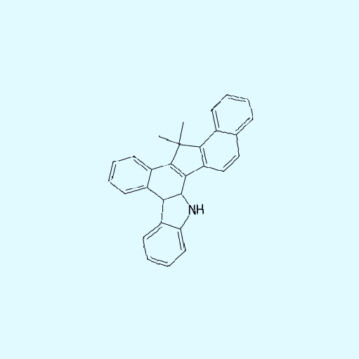 CC1(C)C2=C(c3ccc4ccccc4c31)C1Nc3ccccc3C1c1ccccc12